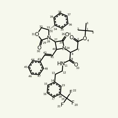 CC(C)(C)OC(=O)CC(C(=O)NCCc1cccc(C(F)(F)F)c1)N1C(=O)C(N2C(=O)OC[C@@H]2c2ccccc2)C1C=Cc1ccccc1